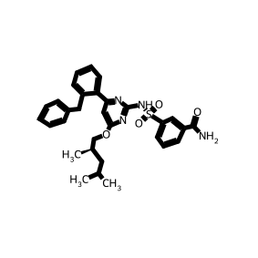 CC(C)C[C@@H](C)COc1cc(-c2ccccc2Cc2ccccc2)nc(NS(=O)(=O)c2cccc(C(N)=O)c2)n1